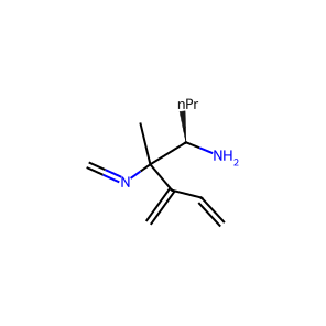 C=CC(=C)C(C)(N=C)[C@H](N)CCC